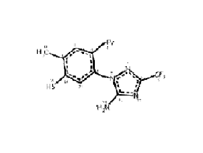 Cc1cc(C(C)C)c(-n2nc(C(F)(F)F)nc2N)cc1S